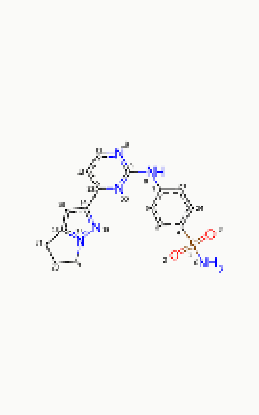 NS(=O)(=O)c1ccc(Nc2nccc(-c3cc4n(n3)CCC4)n2)cc1